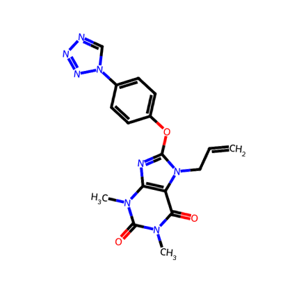 C=CCn1c(Oc2ccc(-n3cnnn3)cc2)nc2c1c(=O)n(C)c(=O)n2C